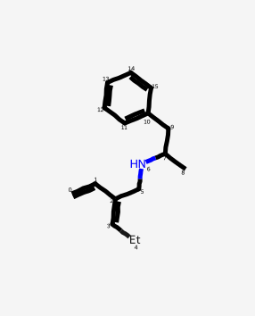 C=C/C(=C/CC)CNC(C)Cc1ccccc1